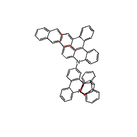 c1ccc(-c2cc(N(c3ccc(-c4ccc5ccccc5c4)cc3)c3ccccc3-c3cc4ccccc4c4ccccc34)ccc2-c2ccccc2-n2c3ccccc3c3ccccc32)cc1